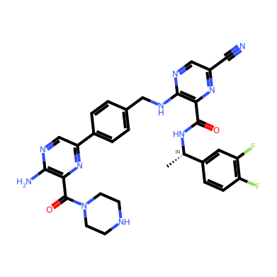 C[C@H](NC(=O)c1nc(C#N)cnc1NCc1ccc(-c2cnc(N)c(C(=O)N3CCNCC3)n2)cc1)c1ccc(F)c(F)c1